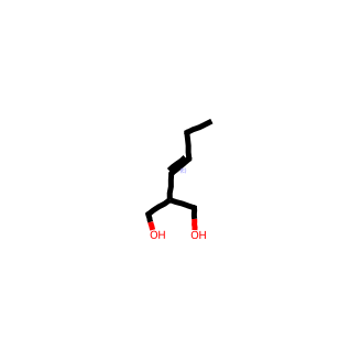 CC/C=C/C(CO)CO